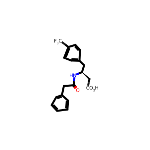 O=C(O)C[C@H](Cc1ccc(C(F)(F)F)cc1)NC(=O)Cc1ccccc1